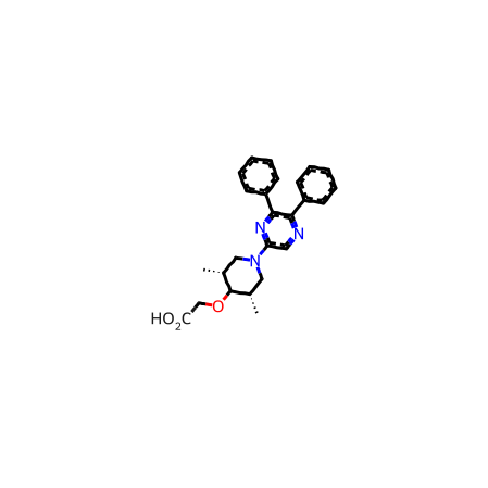 C[C@@H]1CN(c2cnc(-c3ccccc3)c(-c3ccccc3)n2)C[C@H](C)C1OCC(=O)O